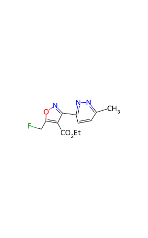 CCOC(=O)c1c(-c2ccc(C)nn2)noc1CF